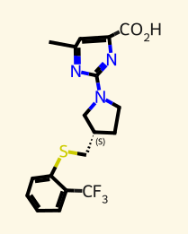 Cc1cc(C(=O)O)nc(N2CC[C@H](CSc3ccccc3C(F)(F)F)C2)n1